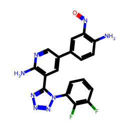 Nc1ccc(-c2cnc(N)c(-c3nnnn3-c3cccc(F)c3F)c2)cc1N=O